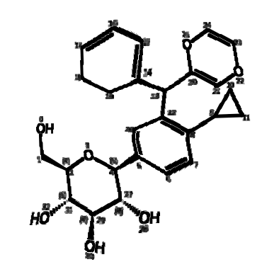 OC[C@H]1O[C@@H](c2ccc(C3CC3)c(C(C3=CC=CCC3)C3=COC=CO3)c2)[C@H](O)[C@@H](O)[C@@H]1O